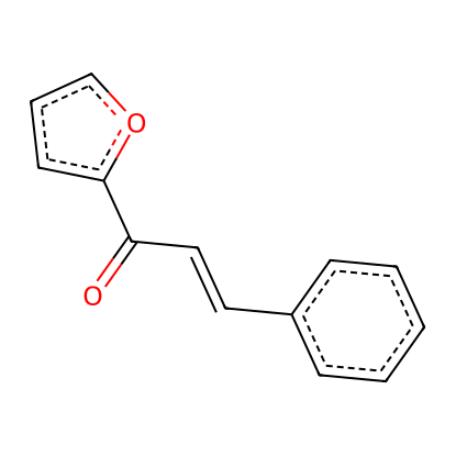 O=C(/C=C/c1ccccc1)c1ccco1